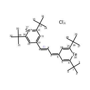 CC(C)(C)C1=CC(=C/C=C/c2cc(C(C)(C)C)[se+]c(C(C)(C)C)c2)C=C(C(C)(C)C)[Te]1.[Cl-]